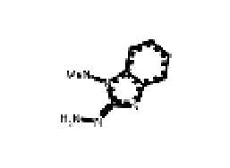 CNn1c(=NN)sc2ccccc21